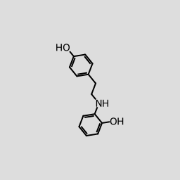 Oc1ccc(CCNc2ccccc2O)cc1